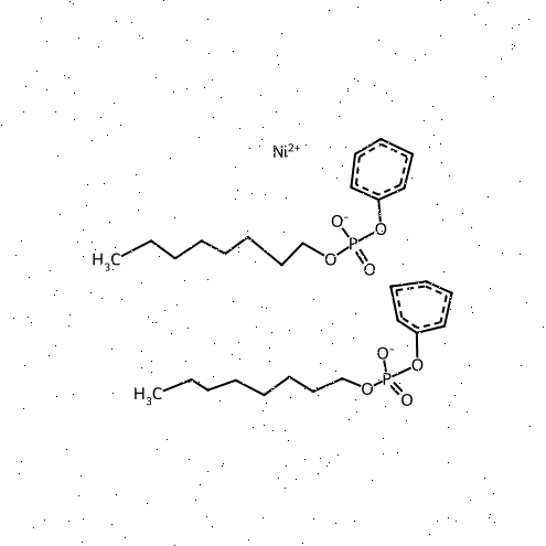 CCCCCCCCOP(=O)([O-])Oc1ccccc1.CCCCCCCCOP(=O)([O-])Oc1ccccc1.[Ni+2]